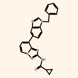 O=C(Nc1nc2c(-c3ccc4c(c3)ncn4Cc3ccccc3)cccn2n1)C1CC1